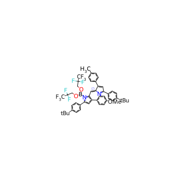 COc1ccc(-c2cc(-c3ccc(C(C)(C)C)cc3)n(B(OCC(F)(F)C(F)(F)F)OCC(F)(F)C(F)(F)F)c2/C=C2\N=C(c3ccc(C(C)(C)C)cc3)C=C2c2ccc(C)cc2)cc1